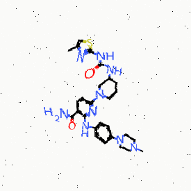 Cc1csc(NC(=O)NC2CCCN(c3ccc(C(N)=O)c(Nc4ccc(N5CCN(C)CC5)cc4)n3)C2)n1